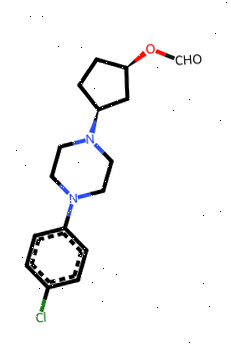 O=CO[C@@H]1CC[C@H](N2CCN(c3ccc(Cl)cc3)CC2)C1